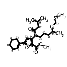 COC(=O)c1sc(C2=CCCCC2)cc1N(CCCC(C)OCSC)C(=O)CC(C)C